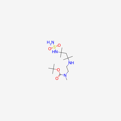 CN(CCNC(C)(C)CC(C)(C)NS(N)(=O)=O)C(=O)OC(C)(C)C